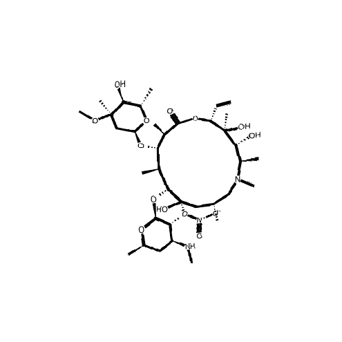 CC[C@H]1OC(=O)[C@H](C)[C@@H](O[C@H]2C[C@@](C)(OC)[C@@H](O)[C@H](C)O2)[C@H](C)[C@@H](O[C@@H]2O[C@H](C)C[C@H](NC)[C@H]2O[N+](=O)[O-])[C@](C)(O)C[C@@H](C)CN(C)[C@H](C)[C@@H](O)[C@]1(C)O